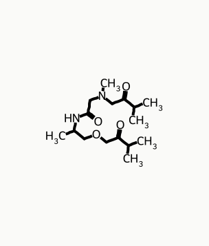 CC(COCC(=O)C(C)C)NC(=O)CN(C)CC(=O)C(C)C